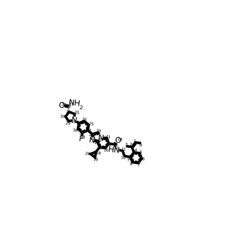 C/C=C(/C)c1ccccc1CCNC(=O)c1cc(C2CC2)c2nc(-c3ccc(N4CC[C@H](C(N)=O)C4)cc3F)cn2c1